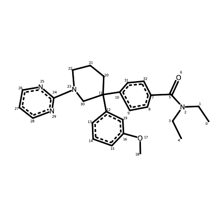 CCN(CC)C(=O)c1ccc(C2(c3cccc(OC)c3)CCCN(c3ncccn3)C2)cc1